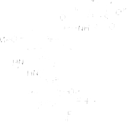 COC(C)C(=N)c1cc(C(=O)N[C@@]2(C)CCS(=O)(=O)C2)ccc1Nc1cccc(OC(F)F)c1